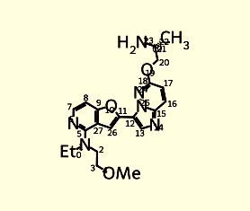 CCN(CCOC)c1nccc2oc(-c3cnc4ccc(OC[C@@H](C)N)nn34)cc12